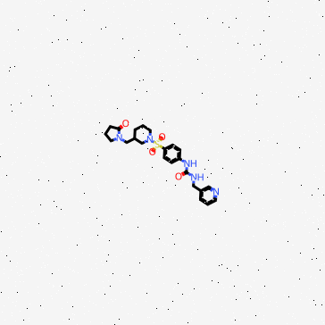 O=C(NCc1cccnc1)Nc1ccc(S(=O)(=O)N2CCCC(CN3CCCC3=O)C2)cc1